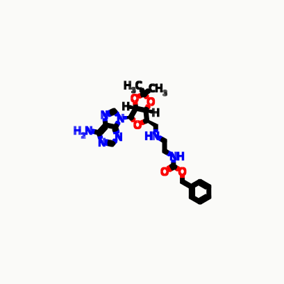 CC1(C)O[C@@H]2[C@H](O1)[C@@H](CNCCNC(=O)OCc1ccccc1)O[C@H]2n1cnc2c(N)ncnc21